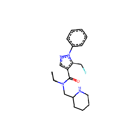 CCN(CC1CCCCN1)C(=O)c1cnn(-c2ccccc2)c1CF